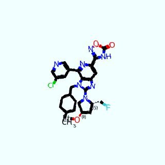 CCO[C@@H]1C[C@@H](CF)N(c2nc3cc(-c4noc(=O)[nH]4)nc(-c4cncc(Cl)c4)c3n2CC2CCC(C)CC2)C1